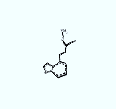 NOC(=O)/C=C/c1cccc2[nH]ccc12